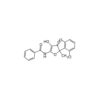 CC1(c2c(Cl)cccc2Cl)OC(NC(=O)c2ccccc2)=C(O)C1=O